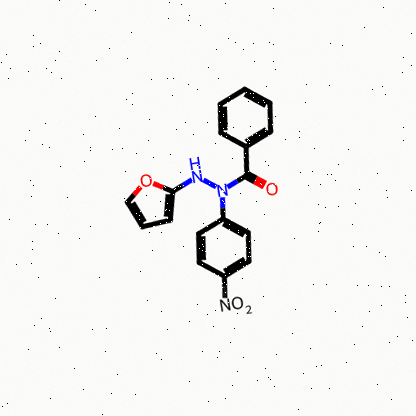 O=C(c1ccccc1)N(Nc1ccco1)c1ccc([N+](=O)[O-])cc1